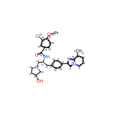 Cc1cccn2cc(-c3ccc(C[C@@H](CN4CCC(O)C4)NC(=O)c4ccc(OC(C)C)c(Cl)c4)cc3)nc12